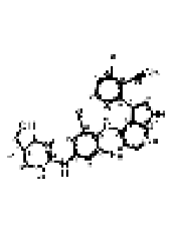 C[C@]1(CO)CN=C(Nc2cc(F)c(Oc3ccnc4[nH]cc(-c5cccc(F)c5C#N)c34)c(F)c2)OC1